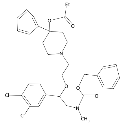 CCC(=O)OC1(c2ccccc2)CCN(CCOC(CN(C)C(=O)OCc2ccccc2)c2ccc(Cl)c(Cl)c2)CC1